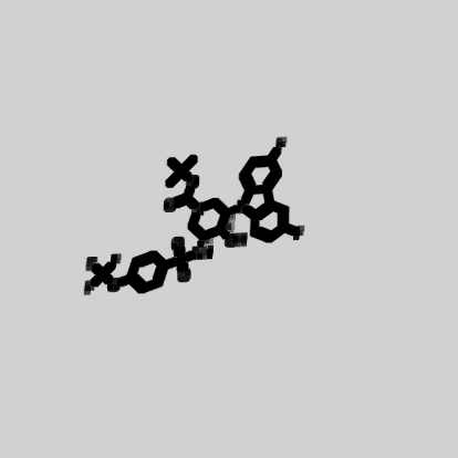 CC(C)(C)OC(=O)N1C[C@@H](n2c3ccc(F)cc3c3cc(F)ccc32)[C@@H](O)[C@H](NS(=O)(=O)c2ccc(OC(F)(F)F)cc2)C1